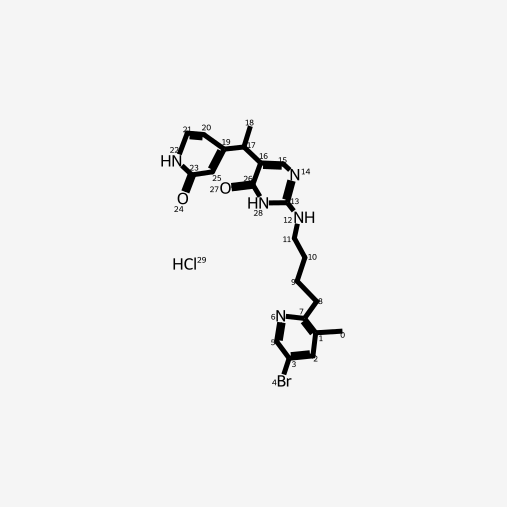 Cc1cc(Br)cnc1CCCCNc1ncc(C(C)c2cc[nH]c(=O)c2)c(=O)[nH]1.Cl